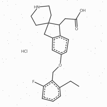 CCc1cccc(F)c1COc1ccc2c(c1)CC1(CCNCC1)C2CC(=O)O.Cl